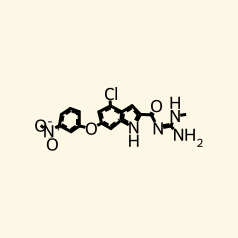 CNC(N)=NC(=O)c1cc2c(Cl)cc(Oc3cccc([N+](=O)[O-])c3)cc2[nH]1